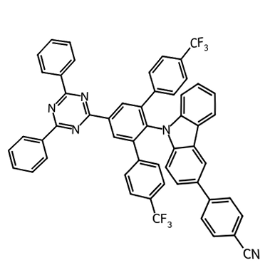 N#Cc1ccc(-c2ccc3c(c2)c2ccccc2n3-c2c(-c3ccc(C(F)(F)F)cc3)cc(-c3nc(-c4ccccc4)nc(-c4ccccc4)n3)cc2-c2ccc(C(F)(F)F)cc2)cc1